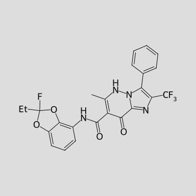 CCC1(F)Oc2cccc(NC(=O)c3c(C)[nH]n4c(-c5ccccc5)c(C(F)(F)F)nc4c3=O)c2O1